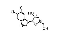 OC[C@@H]1C[C@H](O)C(n2cnc3cc(Cl)c(Cl)cc32)O1